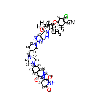 CC1(C)[C@H](NC(=O)c2cnc(N3CCC(CN4CCN(c5ccc6c(=O)n([C@@H]7CCC(=O)NC7=O)ncc6c5)CC4)CC3)nc2)C(C)(C)[C@H]1Oc1ccc(C#N)c(Cl)c1